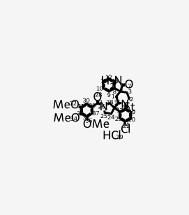 CCN1CCC(C(N)=O)(c2ccccc2)CC1C1(c2cccc(Cl)c2)CCN(C(=O)c2cc(OC)c(OC)c(OC)c2)C1.Cl